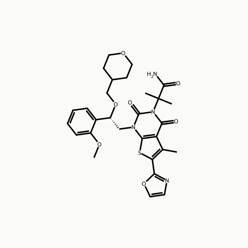 COc1ccccc1[C@@H](Cn1c(=O)n(C(C)(C)C(N)=O)c(=O)c2c(C)c(-c3ncco3)sc21)OCC1CCOCC1